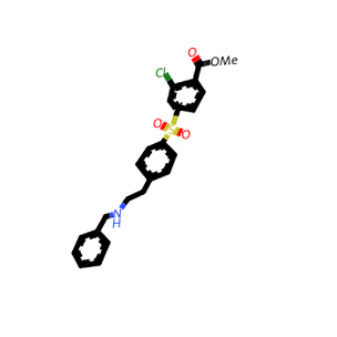 COC(=O)c1ccc(S(=O)(=O)c2ccc(CCNCc3ccccc3)cc2)cc1Cl